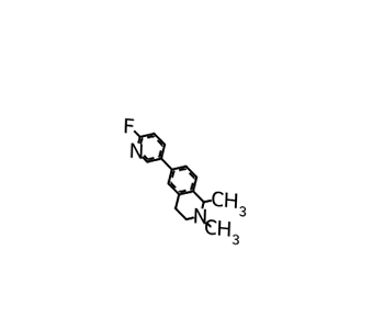 CC1c2ccc(-c3ccc(F)nc3)cc2CCN1C